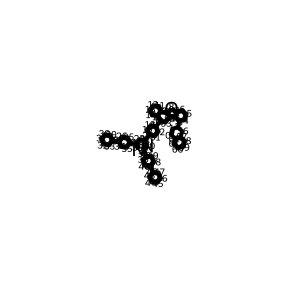 C1=CC(c2cccc3oc4c5ccccc5c(-c5ccc(-c6cc(-c7ccc(-c8ccccc8)cc7)nc(-c7ccc(-c8ccccc8)cc7)n6)cc5)cc4c23)Cc2ccccc21